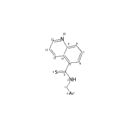 CC(=O)CNC(=S)c1cccc2ncccc12